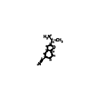 C[C@@H](N)c1cc2cc(C#N)ccc2o1